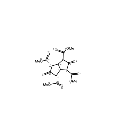 COC(=O)C1C(=O)C(C(=O)OC)C2C1[C@H](C(=O)OC)C(=O)[C@@H]2C(=O)OC